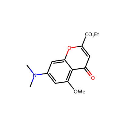 CCOC(=O)c1cc(=O)c2c(OC)cc(N(C)C)cc2o1